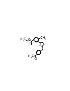 CCOC(=O)c1ccc(C)c(C2CCN(Cc3ccc(C(C)=O)cc3)C2)c1